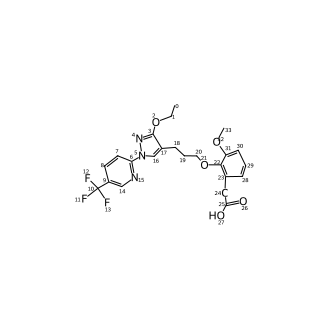 CCOc1nn(-c2ccc(C(F)(F)F)cn2)cc1CCCOc1c(CC(=O)O)cccc1OC